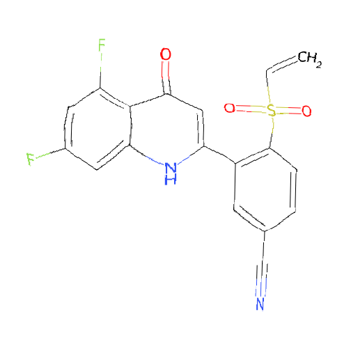 C=CS(=O)(=O)c1ccc(C#N)cc1-c1cc(=O)c2c(F)cc(F)cc2[nH]1